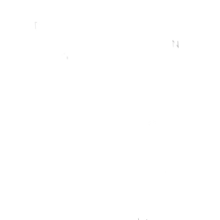 CC(C)Oc1ccc2nccc(OCC3CCNCC3)c2c1